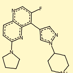 Fc1cnc2ccc(N3CCCC3)nc2c1-c1cnn(C2CCNCC2)c1